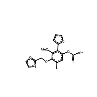 CCCC(=O)Oc1cc(C)c(OCc2ncco2)c(OC)c1-c1ccco1